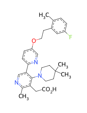 Cc1ccc(F)cc1CCOc1ccc(-c2cnc(C)c(CC(=O)O)c2N2CCC(C)(C)CC2)nc1